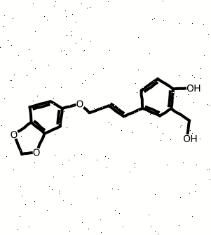 OCc1cc(/C=C/COc2ccc3c(c2)OCO3)ccc1O